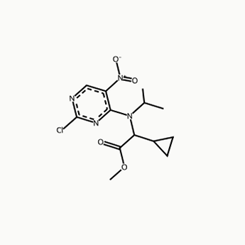 COC(=O)C(C1CC1)N(c1nc(Cl)ncc1[N+](=O)[O-])C(C)C